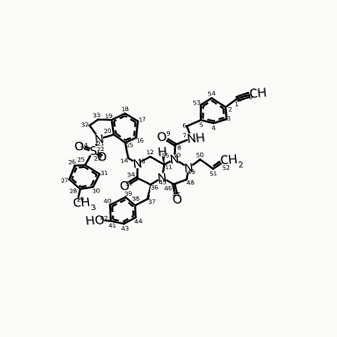 C#Cc1ccc(CNC(=O)N2[C@H]3CN(Cc4cccc5c4N(S(=O)(=O)c4ccc(C)cc4)CC5)C(=O)[C@H](Cc4ccc(O)cc4)N3C(=O)CN2CC=C)cc1